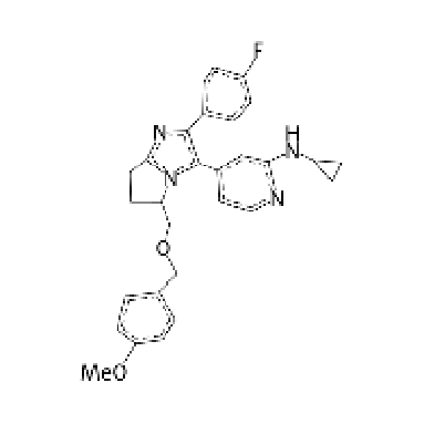 COc1ccc(COCC2CCc3nc(-c4ccc(F)cc4)c(-c4ccnc(NC5CC5)c4)n32)cc1